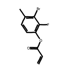 C=CC(=O)Oc1ccc(C)c(Br)c1F